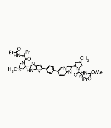 CCC(=O)N[C@H](C(=O)N1C[C@@H](C)C[C@H]1c1nc2cc(-c3ccc(-c4ccc5nc([C@@H]6C[C@H](C)CN6C(=O)[C@@H](NC(=O)OC)C(C)C)cn5c4)cc3)sc2[nH]1)C(C)C